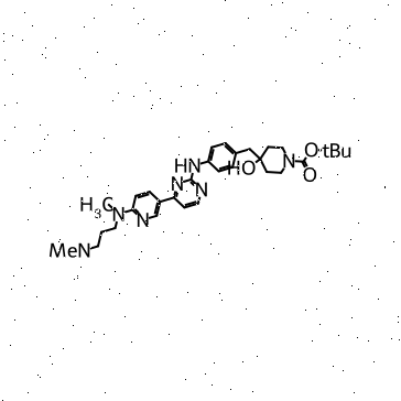 CNCCCN(C)c1ccc(-c2ccnc(Nc3ccc(CC4(O)CCN(C(=O)OC(C)(C)C)CC4)cc3)n2)cn1